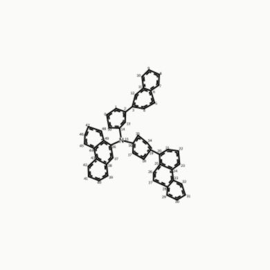 c1cc(-c2ccc3ccccc3c2)cc(N(c2ccc(-c3cccc4c3ccc3ccccc34)cc2)c2cc3ccccc3c3ccccc23)c1